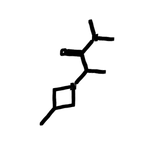 CC1CN(C(C)C(=O)N(C)C)C1